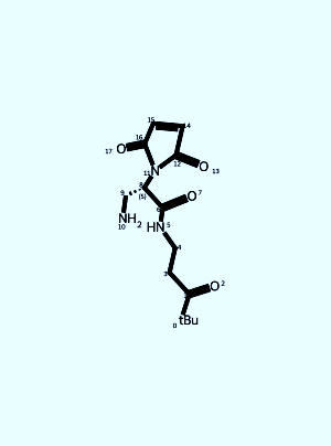 CC(C)(C)C(=O)CCNC(=O)[C@H](CN)N1C(=O)C=CC1=O